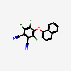 N#Cc1c(F)c(F)c(Oc2cccc3ccccc23)c(F)c1C#N